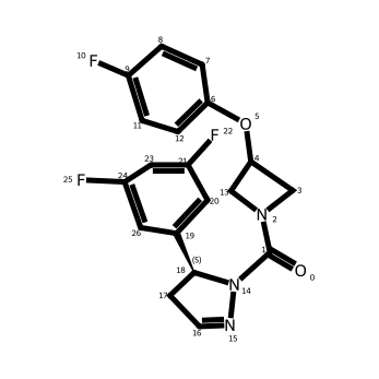 O=C(N1CC(Oc2ccc(F)cc2)C1)N1N=CC[C@H]1c1cc(F)cc(F)c1